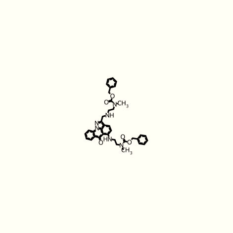 CN(CCNCc1nn2c3ccccc3c(=O)c3c(NCCN(C)C(=O)OCc4ccccc4)ccc1c32)C(=O)OCc1ccccc1